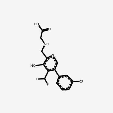 O=C(O)CNCc1ncc(-c2cccc(Cl)c2)c(C(F)F)c1O